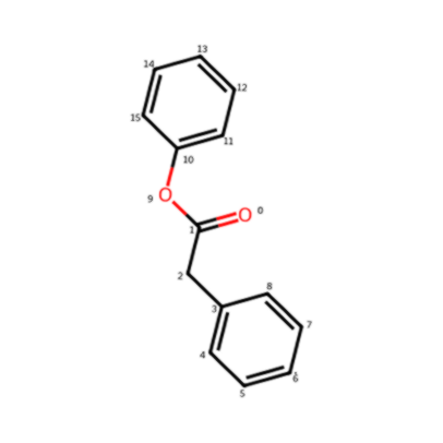 O=C(Cc1cc[c]cc1)Oc1ccccc1